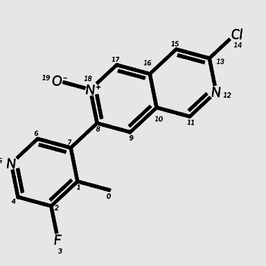 Cc1c(F)cncc1-c1cc2cnc(Cl)cc2c[n+]1[O-]